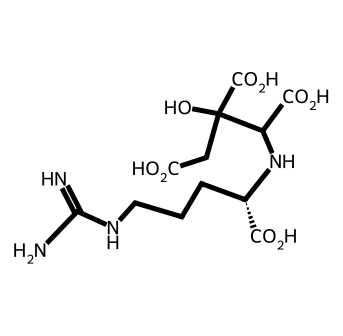 N=C(N)NCCC[C@H](NC(C(=O)O)C(O)(CC(=O)O)C(=O)O)C(=O)O